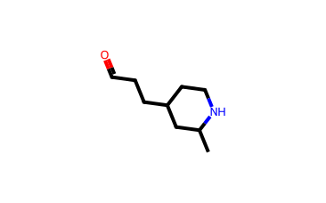 CC1CC(CCC=O)CCN1